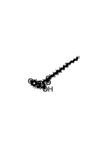 CCCCCCCCCCCCCCCCCCOC(=O)CC1CC(O)C[C@]2(CC[C@]3(C=CC(=O)CC3)O2)O1